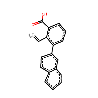 C=Cc1c(C(=O)O)cccc1-c1ccc2ccccc2c1